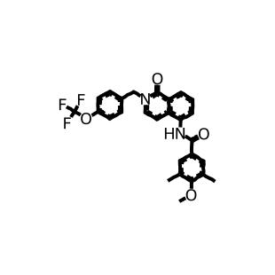 COc1c(C)cc(C(=O)Nc2cccc3c(=O)n(Cc4ccc(OC(F)(F)F)cc4)ccc23)cc1C